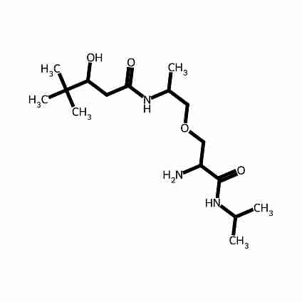 CC(C)NC(=O)C(N)COCC(C)NC(=O)CC(O)C(C)(C)C